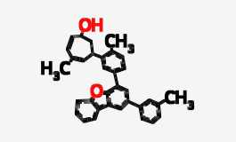 CC1=CC(c2cc(-c3cc(-c4cccc(C)c4)cc4c3oc3ccccc34)ccc2C)CC(O)C=C1